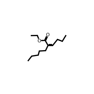 CCCC=C(CCCCC)C(=O)OCC